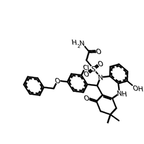 CC1(C)CC(=O)C2=C(C1)Nc1c(O)cccc1N(S(=O)(=O)CC(N)=O)C2c1ccc(OCc2ccccc2)cc1Cl